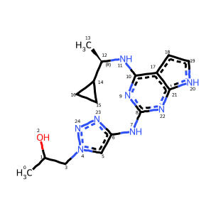 CC(O)Cn1cc(Nc2nc(N[C@H](C)C3CC3)c3cc[nH]c3n2)nn1